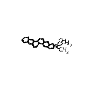 CC[Si](CC)(CC)c1ccc2cc3c(ccc4c5cc6ccccc6cc5ccc34)cc2c1